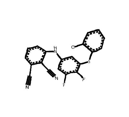 N#Cc1cccc(Nc2cc(F)c(F)c(Sc3ccccc3Cl)c2)c1C#N